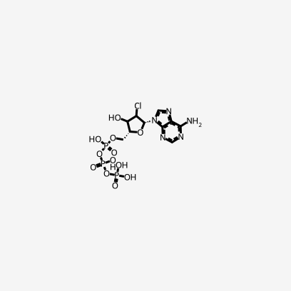 Nc1ncnc2c1ncn2[C@@H]1O[C@H](COP(=O)(O)OP(=O)(O)OP(=O)(O)O)C(O)C1Cl